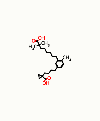 Cc1ccc(CCCCC2(C(=O)O)CC2)cc1CCCCCCC(C)(C)C(=O)O